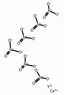 O=[N+]([O-])[O-].O=[N+]([O-])[O-].O=[N+]([O-])[O-].O=[N+]([O-])[O-].O=[N+]([O-])[O-].O=[N+]([O-])[O-].[Ce+3].[Y+3]